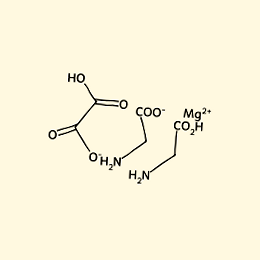 NCC(=O)O.NCC(=O)[O-].O=C([O-])C(=O)O.[Mg+2]